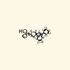 O=C(O)N1CCC(/C=C/c2ccccc2)(c2ccccn2)CC1